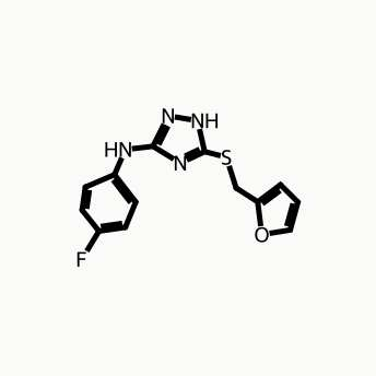 Fc1ccc(Nc2n[nH]c(SCc3ccco3)n2)cc1